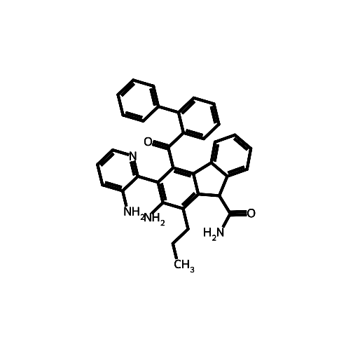 CCCc1c(N)c(-c2ncccc2N)c(C(=O)c2ccccc2-c2ccccc2)c2c1C(C(N)=O)c1ccccc1-2